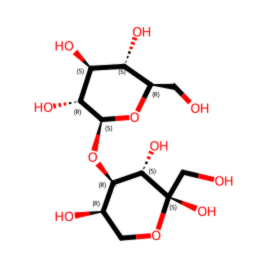 OC[C@H]1O[C@@H](O[C@@H]2[C@H](O)CO[C@@](O)(CO)[C@H]2O)[C@H](O)[C@@H](O)[C@@H]1O